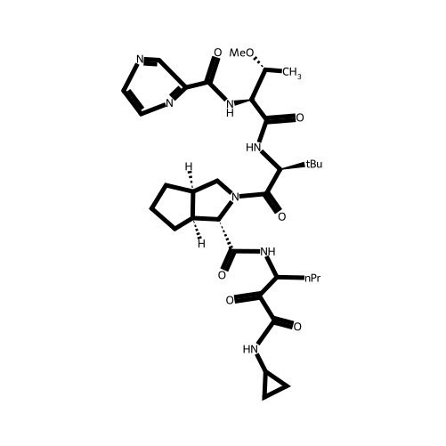 CCCC(NC(=O)[C@@H]1[C@H]2CCC[C@H]2CN1C(=O)[C@@H](NC(=O)[C@@H](NC(=O)c1cnccn1)[C@@H](C)OC)C(C)(C)C)C(=O)C(=O)NC1CC1